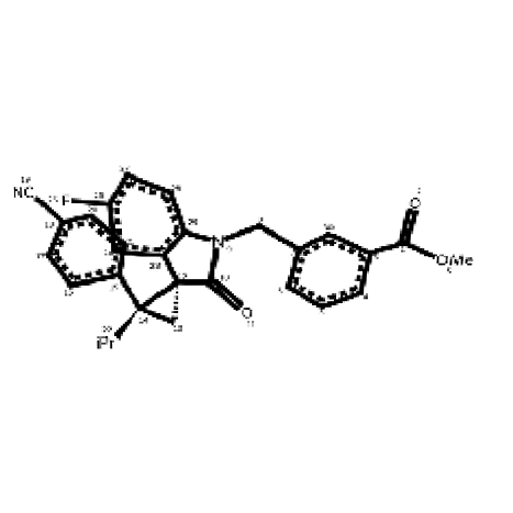 COC(=O)c1cccc(CN2C(=O)[C@]3(C[C@@]3(c3ccc(C#N)cc3)C(C)C)c3cc(F)ccc32)c1